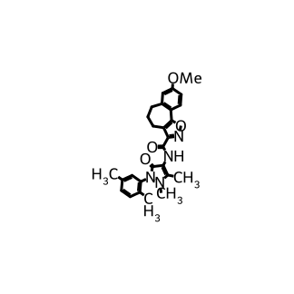 COc1ccc2c(c1)CCCc1c(C(=O)Nc3c(C)n(C)n(-c4cc(C)ccc4C)c3=O)noc1-2